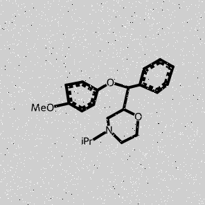 COc1ccc(OC(c2ccccc2)C2CN(C(C)C)CCO2)cc1